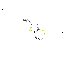 O=C(O)c1cc2c(s1)C=CCS2